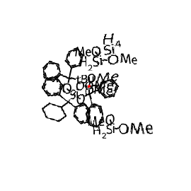 COC(C)(OC)O[Si](OC(OC)(c1ccccc1)c1ccccc1)(OC(c1ccccc1)(c1ccccc1)C(C)(C)C)C(c1ccccc1)(c1ccccc1)C1CCCCC1.CO[SiH2]OC.CO[SiH2]OC.[SiH4]